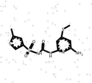 CSc1cc(N)nc(NC(=O)NS(=O)(=O)c2csc(C)c2)c1